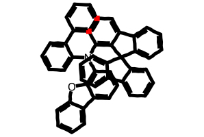 c1ccc(-c2ccccc2N(c2cccc3c2C2(c4ccccc4-c4ccccc42)c2ccccc2-3)c2cccc3c2oc2ccccc23)cc1